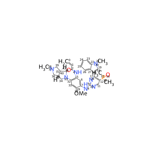 C=CC(=O)Nc1cc(Nc2ncc(P(C)(C)=O)c(-c3cn(C)c4ccccc34)n2)c(OC)cc1N1C[C@H]2CN(C)C[C@H]2C1